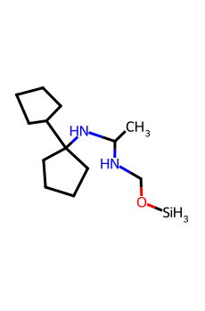 CC(NCO[SiH3])NC1(C2CCCC2)CCCC1